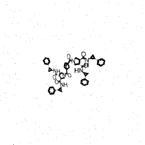 O=C(N[C@H]1C[C@@H]1c1ccccc1)[C@@H]1CN(C(=O)C23CCC(C(=O)N4C[C@@H](C(=O)N[C@H]5C[C@@H]5c5ccccc5)[C@H](C(=O)N[C@H]5C[C@@H]5c5ccccc5)C4)(C2)C3)C[C@H]1C(=O)N[C@H]1C[C@@H]1c1ccccc1